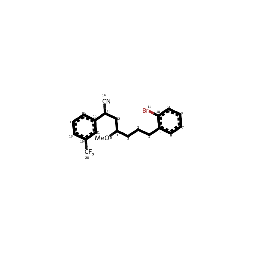 COC(CCCc1ccccc1Br)CC(C#N)c1cccc(C(F)(F)F)c1